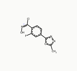 Cc1nnc(-c2ccc(/C(Cl)=N\O)c(F)c2)o1